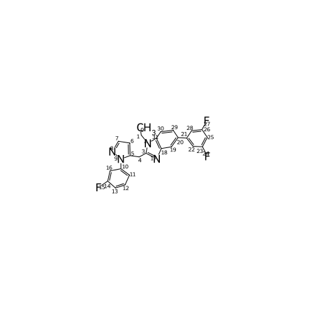 CCn1c(Cc2ccnn2-c2cccc(F)c2)nc2cc(-c3cc(F)cc(F)c3)ccc21